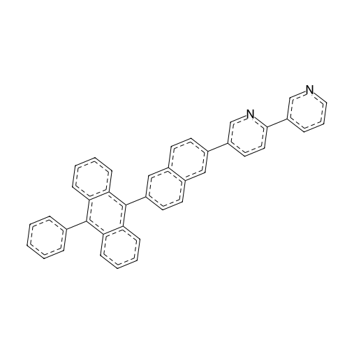 c1ccc(-c2c3ccccc3c(-c3ccc4cc(-c5ccc(-c6cccnc6)nc5)ccc4c3)c3ccccc23)cc1